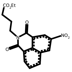 CCOC(=O)CCCN1C(=O)c2cccc3cc([N+](=O)[O-])cc(c23)C1=O